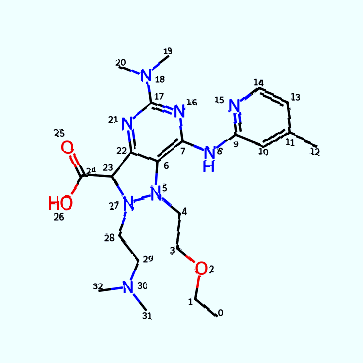 CCOCCN1c2c(Nc3cc(C)ccn3)nc(N(C)C)nc2C(C(=O)O)N1CCN(C)C